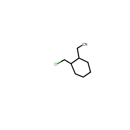 N#CCC1CCCCC1CCl